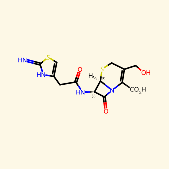 N=c1[nH]c(CC(=O)N[C@@H]2C(=O)N3C(C(=O)O)=C(CO)CS[C@H]23)cs1